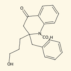 O=C1CC(CCCO)(Cc2ccccc2)N(C(=O)O)c2ccccc21